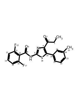 CCC(=O)c1nc(NC(=O)c2c(F)cccc2F)sc1-c1cccc(C)c1